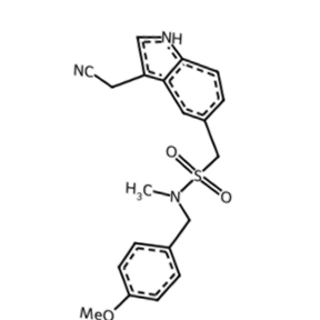 COc1ccc(CN(C)S(=O)(=O)Cc2ccc3[nH]cc(CC#N)c3c2)cc1